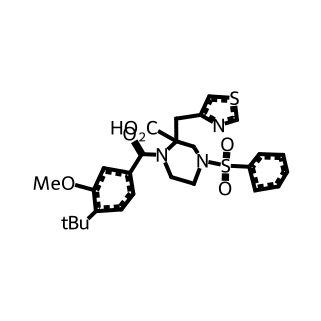 COc1cc(C(=O)N2CCN(S(=O)(=O)c3ccccc3)CC2(Cc2cscn2)C(=O)O)ccc1C(C)(C)C